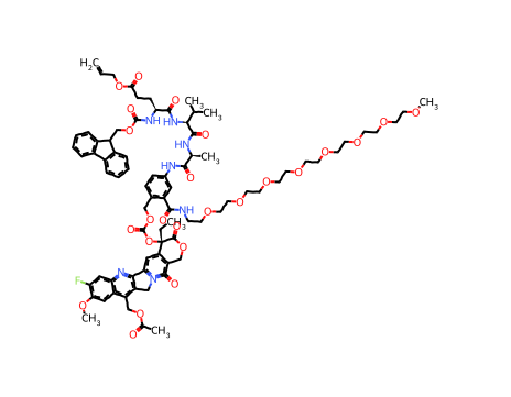 C=CCOC(=O)CC[C@H](NC(=O)OCC1c2ccccc2-c2ccccc21)C(=O)N[C@H](C(=O)N[C@@H](C)C(=O)Nc1ccc(COC(=O)O[C@]2(CC)C(=O)OCc3c2cc2n(c3=O)Cc3c-2nc2cc(F)c(OC)cc2c3COC(C)=O)c(C(=O)NCCOCCOCCOCCOCCOCCOCCOCCOC)c1)C(C)C